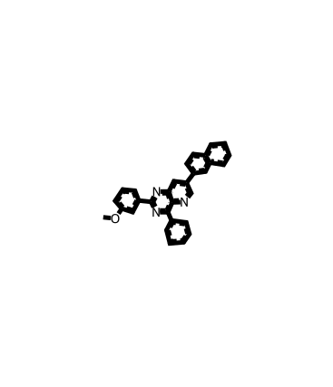 COc1cccc(-c2nc(-c3ccccc3)c3ncc(-c4ccc5ccccc5c4)cc3n2)c1